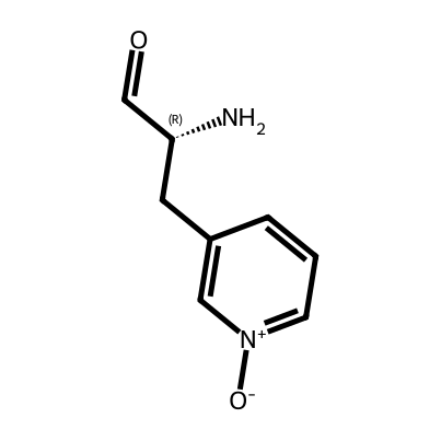 N[C@@H](C=O)Cc1ccc[n+]([O-])c1